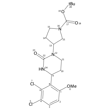 COc1ccc(Cl)c(Cl)c1C1CCN(C2CCN(C(=O)OC(C)(C)C)C2)C(=O)N1